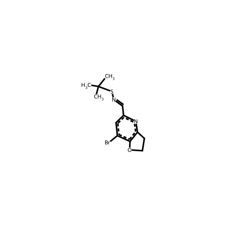 CC(C)(C)S/N=C/c1cc(Br)c2c(n1)CCO2